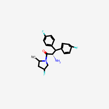 N#CC1CC(F)CN1C(=O)[C@@H](N)C(c1ccc(F)cc1)c1ccc(F)cc1